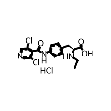 CCN[C@@H](Cc1ccc(NC(=O)c2c(Cl)cncc2Cl)cc1)C(=O)O.Cl